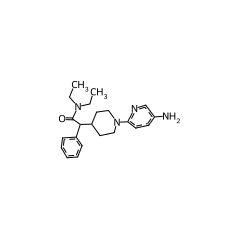 CCN(CC)C(=O)C(c1ccccc1)C1CCN(c2ccc(N)cn2)CC1